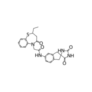 CCC1CC(=O)N(CC(=O)Nc2ccc3c(c2)CC2(C3)NC(=O)NC2=O)c2ccccc2S1